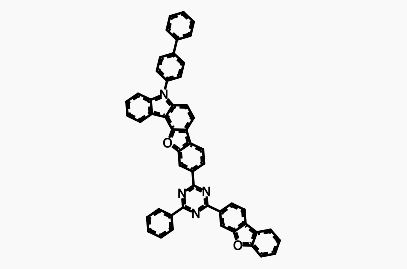 c1ccc(-c2ccc(-n3c4ccccc4c4c5oc6cc(-c7nc(-c8ccccc8)nc(-c8ccc9c(c8)oc8ccccc89)n7)ccc6c5ccc43)cc2)cc1